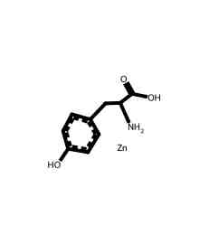 NC(Cc1ccc(O)cc1)C(=O)O.[Zn]